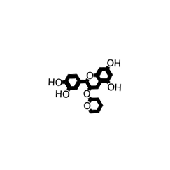 Oc1cc(O)c2c(c1)OC(c1ccc(O)c(O)c1)C(OC1CCCCO1)C2